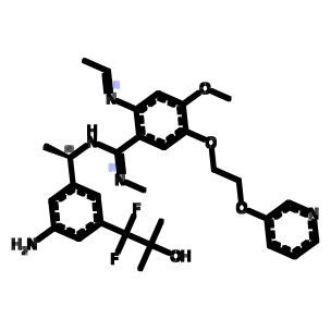 C/C=N/c1cc(OC)c(OCCOc2cccnc2)cc1/C(=N\C)N[C@H](C)c1cc(N)cc(C(F)(F)C(C)(C)O)c1